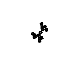 c1ccc(-c2nc3cc(-c4ccc(-c5cc(-c6cc7ccccc7c7ccccc67)nc(-c6cc7ccccc7c7ccccc67)n5)cc4)ccc3c3c(-c4ccccc4)cccc23)cc1